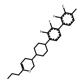 CCCC1=CCC(C2CCC(c3ccc(-c4ccc(C)c(F)c4F)c(F)c3F)CC2)CO1